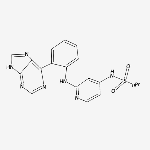 CCCS(=O)(=O)Nc1ccnc(Nc2ccccc2-c2ncnc3[nH]cnc23)c1